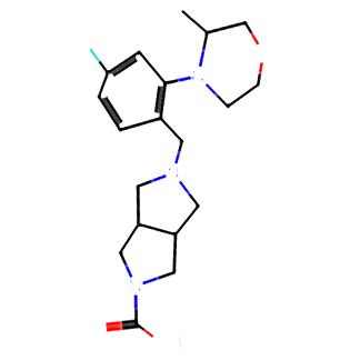 CC1COCCN1c1cc(F)ccc1CN1CC2CN(C(=O)O)CC2C1